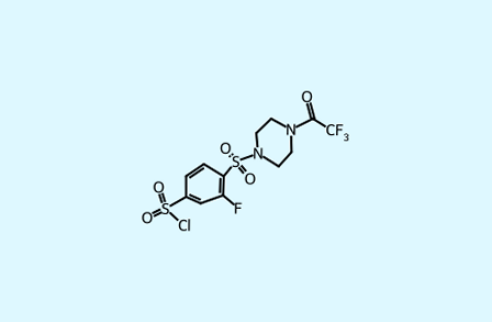 O=C(N1CCN(S(=O)(=O)c2ccc(S(=O)(=O)Cl)cc2F)CC1)C(F)(F)F